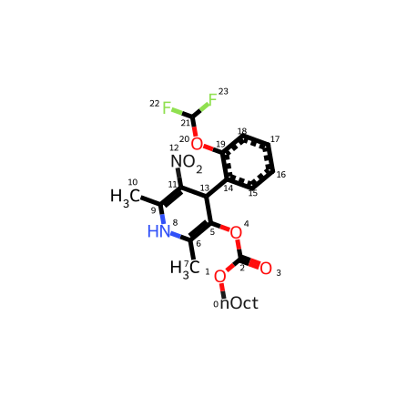 CCCCCCCCOC(=O)OC1=C(C)NC(C)=C([N+](=O)[O-])C1c1ccccc1OC(F)F